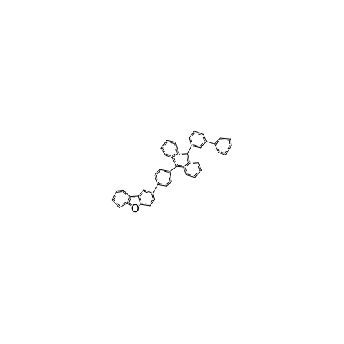 c1ccc(-c2cccc(-c3c4ccccc4c(-c4ccc(-c5ccc6oc7ccccc7c6c5)cc4)c4ccccc34)c2)cc1